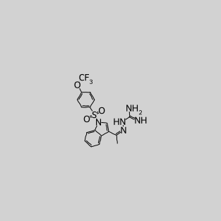 C/C(=N/NC(=N)N)c1cn(S(=O)(=O)c2ccc(OC(F)(F)F)cc2)c2ccccc12